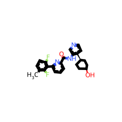 Cc1ccc(F)c(-c2cccc(C(=O)Nc3cnccc3[C@H]3CC[C@@H](O)CC3)n2)c1F